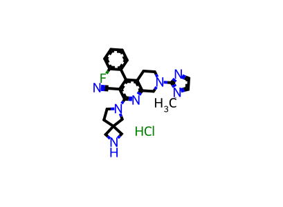 Cl.Cn1ccnc1N1CCc2c(nc(N3CCC4(CNC4)C3)c(C#N)c2-c2ccccc2F)C1